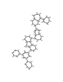 c1ccc(-c2nc(-c3ccccc3)nc(-c3cccc4c3oc3cccc(-c5cccc6nc(-c7ccc8cccc(-c9ccccc9)c8c7)oc56)c34)n2)cc1